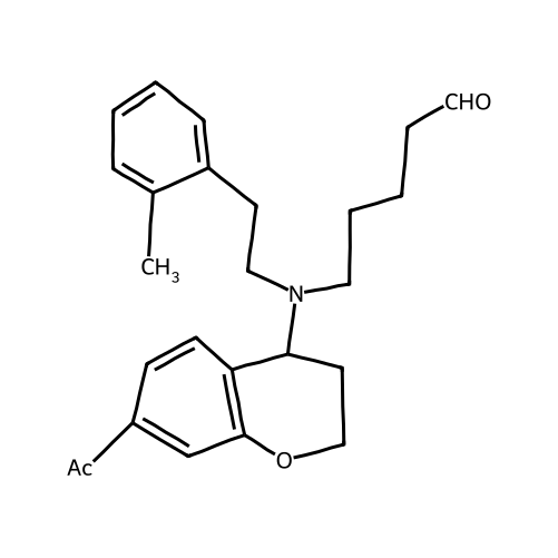 CC(=O)c1ccc2c(c1)OCCC2N(CCCCC=O)CCc1ccccc1C